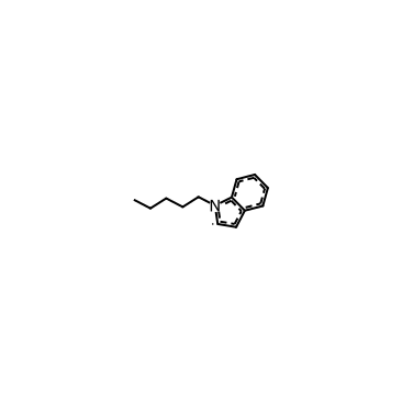 CCCCCn1[c]cc2ccccc21